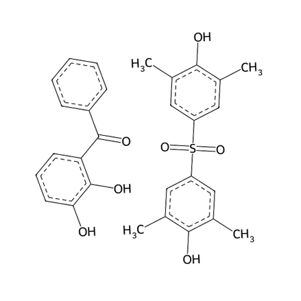 Cc1cc(S(=O)(=O)c2cc(C)c(O)c(C)c2)cc(C)c1O.O=C(c1ccccc1)c1cccc(O)c1O